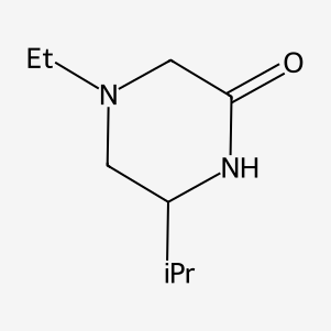 CCN1CC(=O)NC(C(C)C)C1